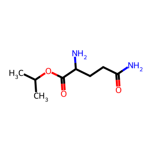 CC(C)OC(=O)C(N)CCC(N)=O